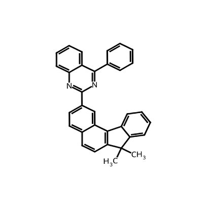 CC1(C)c2ccccc2-c2c1ccc1ccc(-c3nc(-c4ccccc4)c4ccccc4n3)cc21